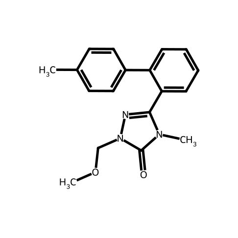 COCn1nc(-c2ccccc2-c2ccc(C)cc2)n(C)c1=O